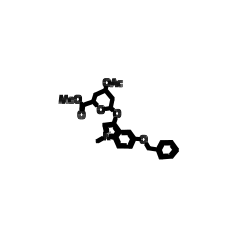 COC(=O)C1CC(OC(C)=O)CC(Oc2cn(C)c3ccc(OCc4ccccc4)cc23)O1